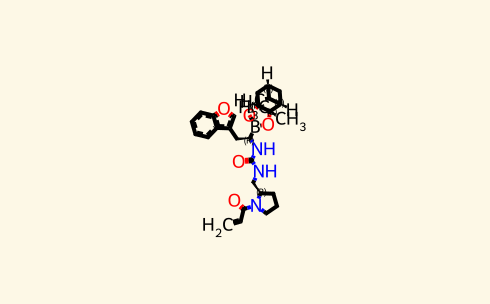 C=CC(=O)N1CCC[C@@H]1CNC(=O)N[C@@H](Cc1coc2ccccc12)B1O[C@@H]2C[C@@H]3C[C@@H](C3(C)C)[C@]2(C)O1